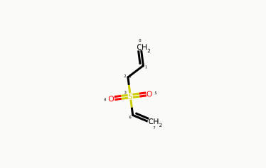 C=C[CH]S(=O)(=O)C=C